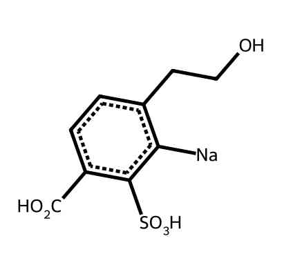 O=C(O)c1ccc(CCO)[c]([Na])c1S(=O)(=O)O